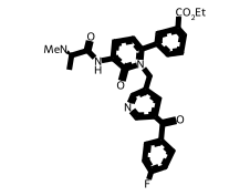 CCOC(=O)c1cccc(-c2ccc(NC(=O)[C@@H](C)NC)c(=O)n2Cc2cncc(C(=O)c3ccc(F)cc3)c2)c1